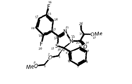 COCOC[C@@]1(c2ccccc2)SC(c2cc(F)ccc2F)=NN1C(=O)C(C)OC